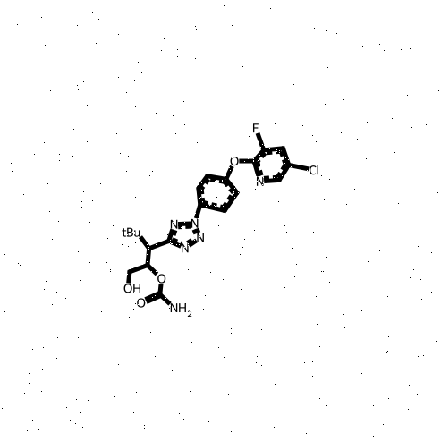 CC(C)(C)C(c1nnn(-c2ccc(Oc3ncc(Cl)cc3F)cc2)n1)C(CO)OC(N)=O